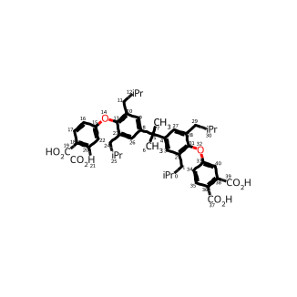 CC(C)Cc1cc(C(C)(C)c2cc(CC(C)C)c(Oc3ccc(C(=O)O)c(C(=O)O)c3)c(CC(C)C)c2)cc(CC(C)C)c1Oc1ccc(C(=O)O)c(C(=O)O)c1